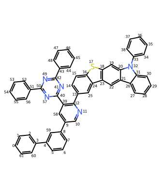 c1ccc(-c2cccc(-c3cnc(-c4ccc5sc6cc7c(cc6c5c4)c4ccccc4n7-c4ccccc4)c(-c4nc(-c5ccccc5)nc(-c5ccccc5)n4)c3)c2)cc1